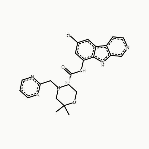 CC1(C)CN(Cc2ncccn2)[C@H](C(=O)Nc2cc(Cl)cc3c2[nH]c2cnccc23)CO1